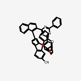 N#Cc1ccc2c(c1)C1(c3ccccc3Oc3ccccc31)c1cc(-c3c(-c4nc(-c5ccccc5)nc(-c5ccccc5)n4)ccc4ccccc34)ccc1-2